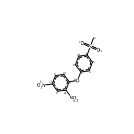 CS(=O)(=O)c1ccc(Oc2ccc([N+](=O)[O-])cc2[N+](=O)[O-])cc1